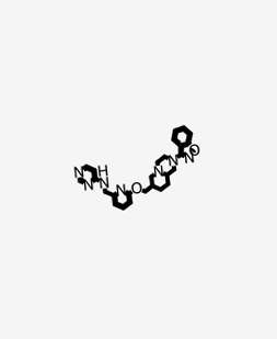 c1cc(CNc2ccncn2)nc(OCC2CCC3CN(c4noc5ccccc45)CCN3C2)c1